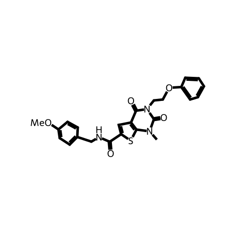 COc1ccc(CNC(=O)c2cc3c(=O)n(CCOc4ccccc4)c(=O)n(C)c3s2)cc1